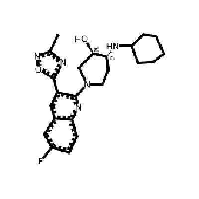 Cc1noc(-c2cc3cc(F)ccc3nc2N2CC[C@@H](NC3CCCCC3)[C@H](O)C2)n1